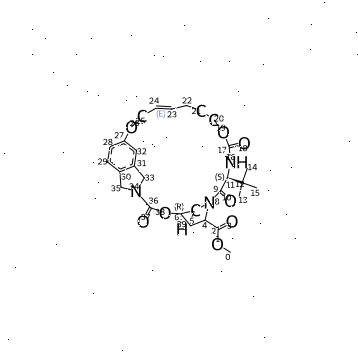 COC(=O)C1C[C@@H]2CN1C(=O)[C@H](C(C)(C)C)NC(=O)OCCC/C=C/COc1ccc3c(c1)CN(C3)C(=O)O2